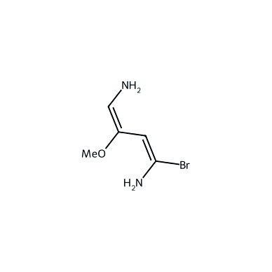 COC(/C=C(\N)Br)=C/N